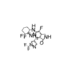 N[C@@H]1C(Nc2nc(-c3cnn(C(F)F)c3)c3c(c2F)CNC3=O)CCCC1(F)F